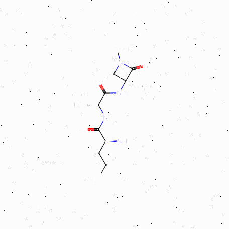 CO[C@]1(NC(=O)[C@@H](C)NC(=O)[C@@H](N)CCC(=O)O)CN(S(=O)(=O)O)C1=O